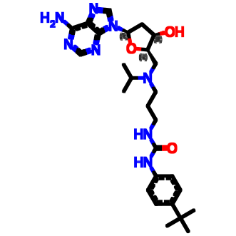 CC(C)N(CCCNC(=O)Nc1ccc(C(C)(C)C)cc1)C[C@H]1O[C@@H](n2cnc3c(N)ncnc32)C[C@H]1O